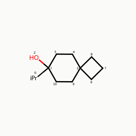 CC(C)C1(O)CCC2(CCC2)CC1